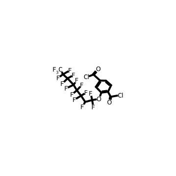 O=C(Cl)c1ccc(C(=O)Cl)c(OC(F)(F)C(F)C(F)(F)C(F)(F)C(F)(F)C(F)(F)C(F)(F)C(F)(F)F)c1